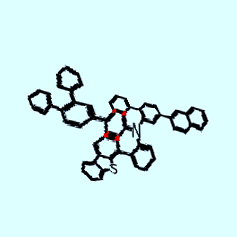 c1ccc(-c2ccc(-c3ccc(N(c4cc(-c5ccc6ccccc6c5)ccc4-c4ccccc4)c4ccccc4-c4cccc5c4sc4ccccc45)cc3)cc2-c2ccccc2)cc1